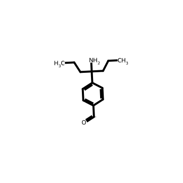 CCCC(N)(CCC)c1ccc([C]=O)cc1